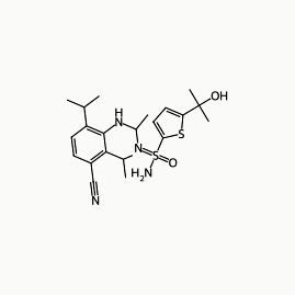 CC(N=S(N)(=O)c1ccc(C(C)(C)O)s1)Nc1c(C(C)C)ccc(C#N)c1C(C)C